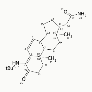 CC(C)(C)NC1=C2C=CC3C(CC[C@@]4(C)C3CC[C@@H]4CC(N)=O)[C@@]2(C)CCC1=O